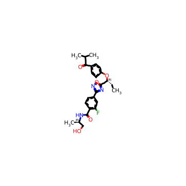 CC[C@@H](Oc1ccc(C(=O)C(C)C)cc1)c1nc(-c2ccc(C(=O)N[C@H](C)CO)c(F)c2)no1